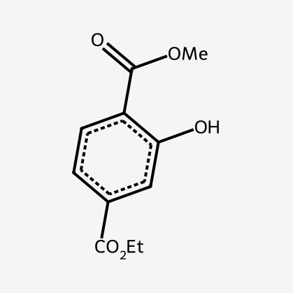 CCOC(=O)c1ccc(C(=O)OC)c(O)c1